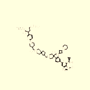 CNC(=O)C(CCC=O)c1ccc(N2CCC(C(=O)N3CCC4(CCC(C(=O)N5CCC6(CC5)C(=O)N(C5CC(N7CCCCC7)C5)c5cc(-c7cc8ncn(C(C)C)c8c(NC8CC8)n7)ccc56)C4)CC3)CC2)nc1